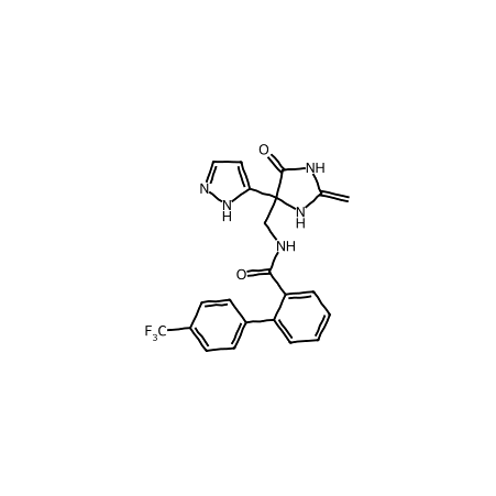 C=C1NC(=O)C(CNC(=O)c2ccccc2-c2ccc(C(F)(F)F)cc2)(c2ccn[nH]2)N1